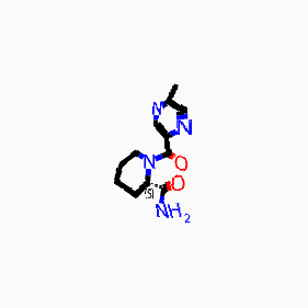 Cc1cnc(C(=O)N2CCCC[C@H]2C(N)=O)cn1